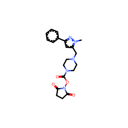 Cn1nc(-c2ccccc2)cc1CN1CCN(C(=O)ON2C(=O)CCC2=O)CC1